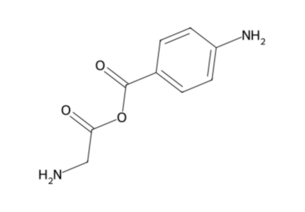 NCC(=O)OC(=O)c1ccc(N)cc1